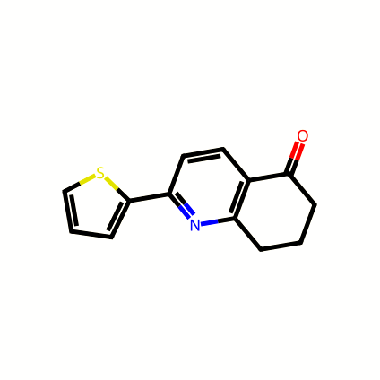 O=C1CCCc2nc(-c3cccs3)ccc21